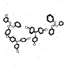 Clc1ccc(P(c2ccc(Cl)cc2)c2ccc(Cl)cc2)cc1.Clc1ccc(P(c2ccc(Cl)cc2)c2ccc(Cl)cc2)cc1.[Pt].c1ccc(OP(Oc2ccccc2)Oc2ccccc2)cc1.c1ccc(OP(Oc2ccccc2)Oc2ccccc2)cc1